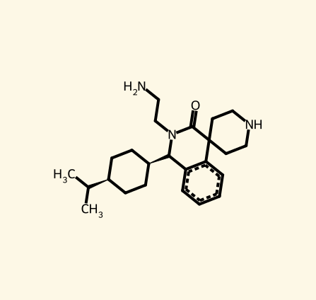 CC(C)[C@H]1CC[C@@H](C2c3ccccc3C3(CCNCC3)C(=O)N2CCN)CC1